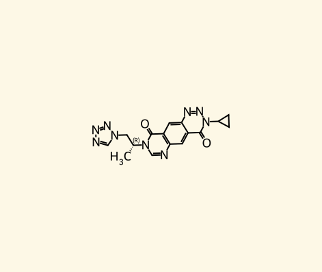 C[C@H](Cn1cnnn1)n1cnc2cc3c(=O)n(C4CC4)nnc3cc2c1=O